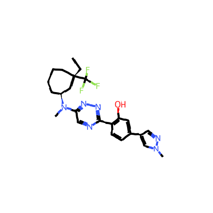 CC[C@]1(C(F)(F)F)CCCC[C@H](N(C)c2cnc(-c3ccc(-c4cnn(C)c4)cc3O)nn2)C1